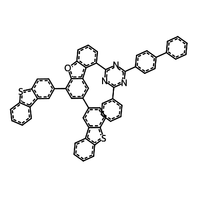 c1ccc(-c2ccc(-c3nc(-c4ccccc4)nc(-c4cccc5oc6c(-c7ccc8sc9ccccc9c8c7)cc(-c7ccc8sc9ccccc9c8c7)cc6c45)n3)cc2)cc1